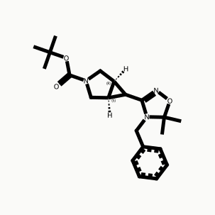 CC(C)(C)OC(=O)N1C[C@@H]2C(C3=NOC(C)(C)N3Cc3ccccc3)[C@@H]2C1